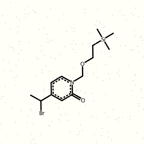 CC(Br)c1ccn(COCC[Si](C)(C)C)c(=O)c1